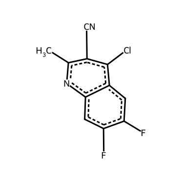 Cc1nc2cc(F)c(F)cc2c(Cl)c1C#N